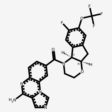 Nc1nc2ccc(C(=O)N3CCO[C@@H]4Cc5cc(OC(F)(F)F)c(F)cc5[C@@H]43)cc2n2cncc12